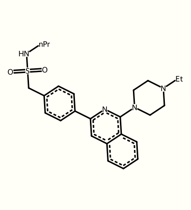 CCCNS(=O)(=O)Cc1ccc(-c2cc3ccccc3c(N3CCN(CC)CC3)n2)cc1